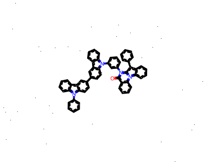 O=c1c2ccccc2n2c3ccccc3c(-c3ccccc3)c2n1-c1cccc(-n2c3ccccc3c3cc(-c4ccc5c(c4)c4ccccc4n5-c4ccccc4)ccc32)c1